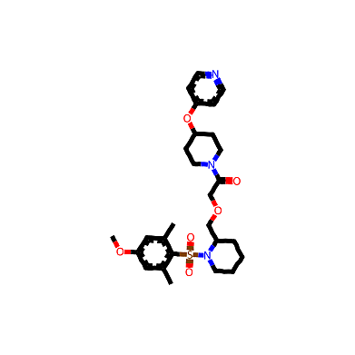 COc1cc(C)c(S(=O)(=O)N2CCCCC2COCC(=O)N2CCC(Oc3ccncc3)CC2)c(C)c1